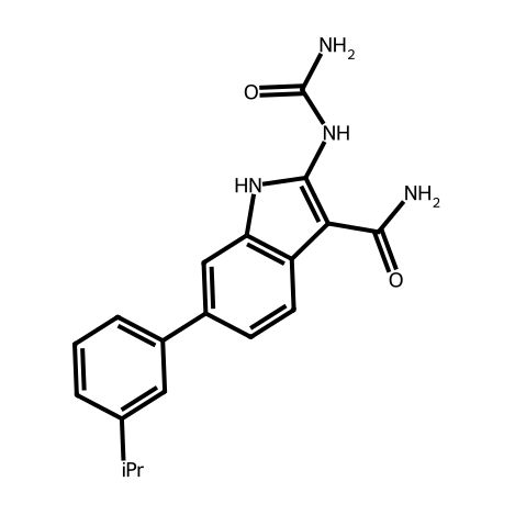 CC(C)c1cccc(-c2ccc3c(C(N)=O)c(NC(N)=O)[nH]c3c2)c1